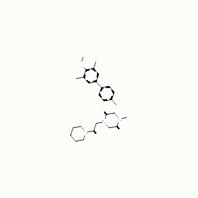 COc1c(C)cc(-c2ccc(C[C@H]3C(=O)N(CC(=O)N4CCCCC4)CC(=O)N3C)cc2)cc1C